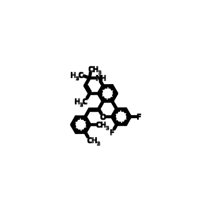 CC1=CC(C)(C)Nc2ccc3c(c21)C(=Cc1cccc(C)c1C)Oc1c(F)cc(F)cc1-3